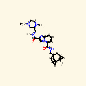 CN1CCN(C)C(CN(C)C(=O)c2cn3c(C(=O)NCC45CC6C[C@@H]6C6(CC6C4)C5)cccc3n2)C1